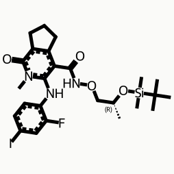 C[C@H](CONC(=O)c1c2c(c(=O)n(C)c1Nc1ccc(I)cc1F)CCC2)O[Si](C)(C)C(C)(C)C